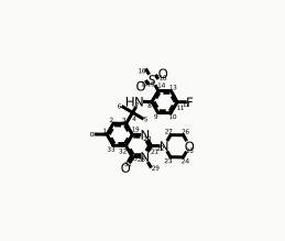 Cc1cc(C(C)(C)Nc2ccc(F)cc2S(C)(=O)=O)c2nc(N3CCOCC3)n(C)c(=O)c2c1